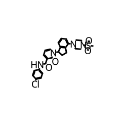 CS(=O)(=O)N1CCN(c2cccc3c2CCC3n2cccc(C(=O)Nc3ccc(Cl)cc3)c2=O)CC1